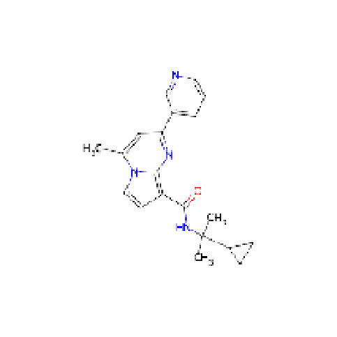 Cc1cc(-c2cccnc2)nc2c(C(=O)NC(C)(C)C3CC3)ccn12